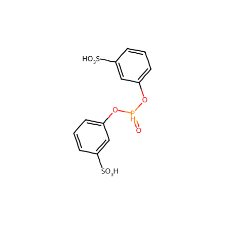 O=[PH](Oc1cccc(S(=O)(=O)O)c1)Oc1cccc(S(=O)(=O)O)c1